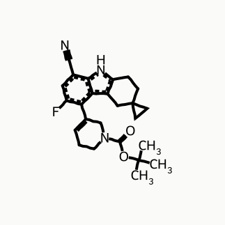 CC(C)(C)OC(=O)N1CCC=C(c2c(F)cc(C#N)c3[nH]c4c(c23)CC2(CC4)CC2)C1